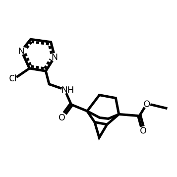 COC(=O)C12CCC(C(=O)NCc3nccnc3Cl)(CC1)C1CC12